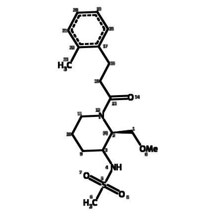 COC[C@H]1C(NS(C)(=O)=O)CCCN1C(=O)CCc1ccccc1C